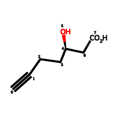 C#CCC[C@@H](O)CC(=O)O